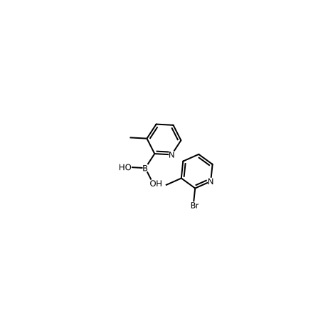 Cc1cccnc1B(O)O.Cc1cccnc1Br